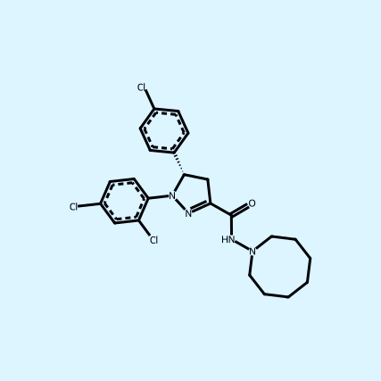 O=C(NN1CCCCCCC1)C1=NN(c2ccc(Cl)cc2Cl)[C@H](c2ccc(Cl)cc2)C1